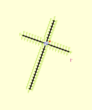 FC(F)(F)C(F)(F)C(F)(F)C(F)(F)C(F)(F)C(F)(F)C(F)(F)C(F)(F)C(F)(F)C(F)(F)C(F)(F)C(F)(F)C(F)(F)C(F)(F)C(F)(F)C(F)(F)[N+](C(F)(F)C(F)(F)C(F)(F)C(F)(F)C(F)(F)C(F)(F)C(F)(F)C(F)(F)F)(C(F)(F)C(F)(F)C(F)(F)C(F)(F)C(F)(F)C(F)(F)C(F)(F)C(F)(F)F)C(F)(F)C(F)(F)C(F)(F)C(F)(F)C(F)(F)C(F)(F)C(F)(F)C(F)(F)F.[I-]